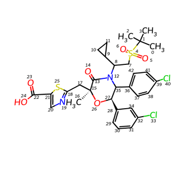 CC(C)(C)S(=O)(=O)CC(C1CC1)N1C(=O)[C@](C)(Cc2ncc(C(=O)O)s2)O[C@H](c2cccc(Cl)c2)C1c1ccc(Cl)cc1